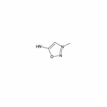 C[n+]1cc([NH-])on1